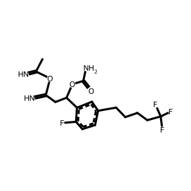 CC(=N)OC(=N)CC(OC(N)=O)c1cc(CCCCC(F)(F)F)ccc1F